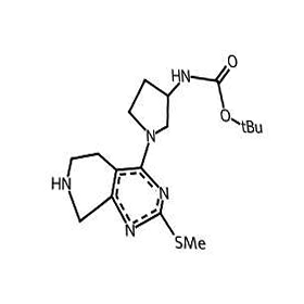 CSc1nc2c(c(N3CCC(NC(=O)OC(C)(C)C)C3)n1)CCNC2